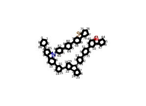 c1ccc(-c2ccc3c4ccc(-c5cccc(-c6ccc7c(c6)-c6ccccc6[C@@H]7c6ccc(-c7ccc(-c8ccc9oc%10ccccc%10c9c8)cc7)cc6)c5)cc4n(-c4ccc(-c5ccc(-c6ccc7c(c6)sc6ccccc67)cc5)cc4)c3c2)cc1